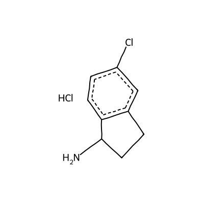 Cl.NC1CCc2cc(Cl)ccc21